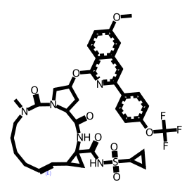 COc1ccc2c(OC3CC4C(=O)NC5(C(=O)NS(=O)(=O)C6CC6)CC5/C=C/CCCCN(C)C(=O)N4C3)nc(-c3ccc(OC(F)(F)F)cc3)cc2c1